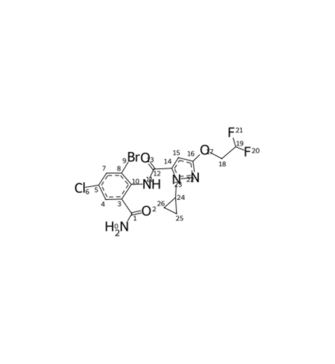 NC(=O)c1cc(Cl)cc(Br)c1NC(=O)c1cc(OCC(F)F)nn1C1CC1